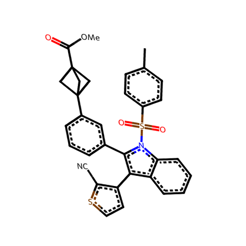 COC(=O)C12CC(c3cccc(-c4c(-c5ccsc5C#N)c5ccccc5n4S(=O)(=O)c4ccc(C)cc4)c3)(C1)C2